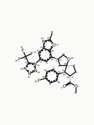 COC(=O)[C@H]1CC[C@@]2(C[C@@H](c3cc(-n4nnnc4C(F)(F)F)cc4nc(C)oc34)CO2)[C@@H]1c1ccc(F)cc1